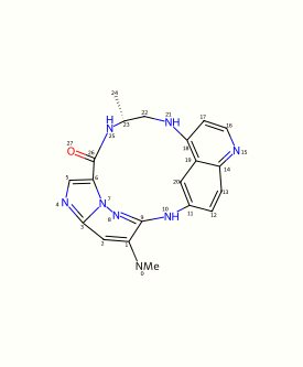 CNc1cc2ncc3n2nc1Nc1ccc2nccc(c2c1)NC[C@@H](C)NC3=O